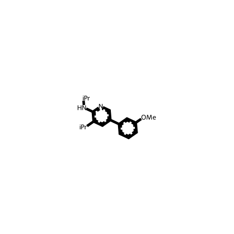 COc1cccc(-c2cnc(NC(C)C)c(C(C)C)c2)c1